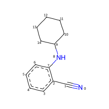 N#Cc1ccccc1NC1CCCCC1